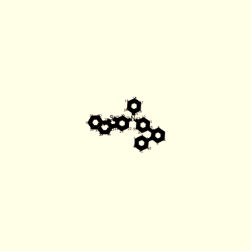 c1ccc(-c2ccccc2-c2ccc(N(c3ccccc3)c3ccc4c(c3)sc3c5ccccc5ccc43)cc2)cc1